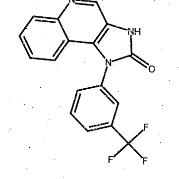 O=c1[nH]c2cnc3ccccc3c2n1-c1cccc(C(F)(F)F)c1